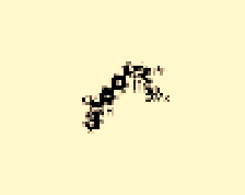 CCCN(Cc1ncc(-c2ccc(-c3ccc(-c4[nH]c([C@]5(C)CCCN5C)nc4Cl)cc3)cc2)[nH]1)C(=O)CNC(=O)OC